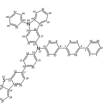 c1ccc(-c2ccc(-c3ccc(N(c4ccc(-c5ccc6c(c5)sc5ccccc56)cc4)c4ccc5c(c4)c4ccccc4n5-c4ccccc4)cc3)cc2)cc1